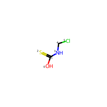 OC(=S)NCCl